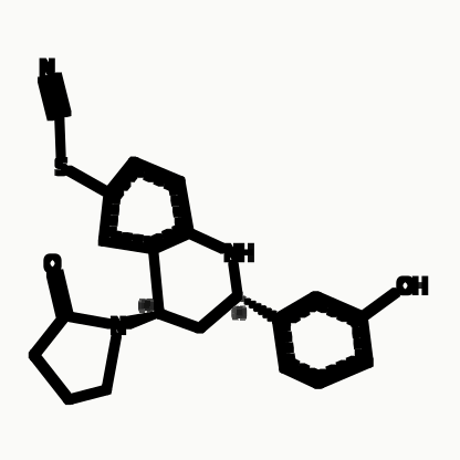 N#CSc1ccc2c(c1)[C@H](N1CCCC1=O)C[C@@H](c1cccc(O)c1)N2